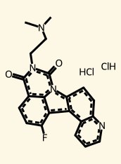 CN(C)CCn1c(=O)c2ccc(F)c3c4c5cccnc5ccc4n(c1=O)c23.Cl.Cl